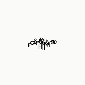 Cc1c([C@@H](NC(=O)Nc2cnc(N3CCOCC3)nc2)C(C)C)oc2ccc(F)cc12